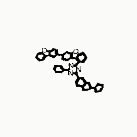 C1=CC(c2ccc3oc4ccccc4c3c2)Cc2oc3cccc(-c4nc(-c5ccccc5)nc(-c5ccc6ccc(-c7ccccc7)cc6c5)n4)c3c21